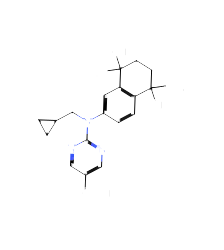 CC1(C)CCC(C)(C)c2cc(N(CC3CC3)c3ncc(C(=O)O)cn3)ccc21